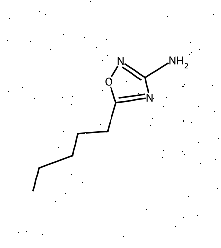 CCCCCc1nc(N)no1